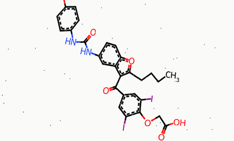 CCCCc1oc2ccc(NC(=O)Nc3ccc(O)cc3)cc2c1C(=O)c1cc(I)c(OCC(=O)O)c(I)c1